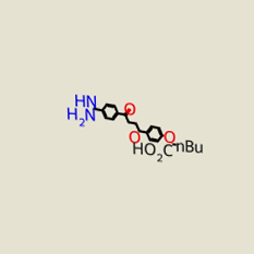 CCCCC(Oc1ccc(C(=O)CCC(=O)c2ccc(C(=N)N)cc2)cc1)C(=O)O